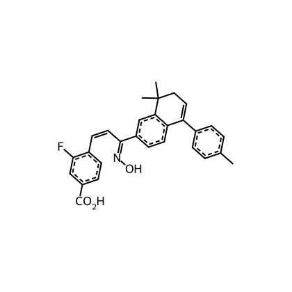 Cc1ccc(C2=CCC(C)(C)c3cc(C(/C=C\c4ccc(C(=O)O)cc4F)=NO)ccc32)cc1